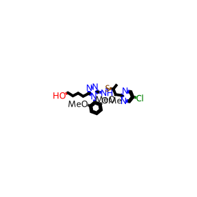 COc1cccc(OC)c1-n1c(CCCCO)nnc1NSC(C)[C@H](OC)c1ncc(Cl)cn1